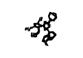 CCc1nc(C)c(CO)n1-c1nc(-c2cccc3[nH]ccc23)nc(N2CCOCC2)n1